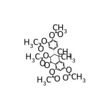 CC(=O)Oc1cc(OC(C)=O)c2c(c1)C(C)(C)[C@@H](c1ccc(OC(C)=O)c(OC(C)=O)c1)[C@H](OC(C)=O)C2=O